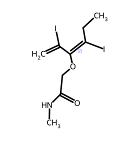 C=C(I)/C(OCC(=O)NC)=C(/I)CC